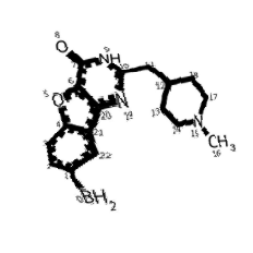 Bc1ccc2oc3c(=O)[nH]c(CC4CCN(C)CC4)nc3c2c1